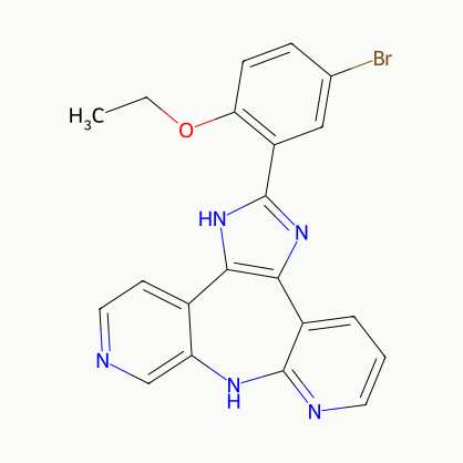 CCOc1ccc(Br)cc1-c1nc2c([nH]1)-c1ccncc1Nc1ncccc1-2